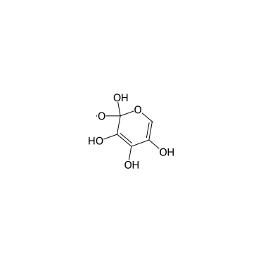 [O]C1(O)OC=C(O)C(O)=C1O